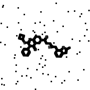 Cc1cc2cccc(CNCCC(=O)N3CCc4nc(SC5CCC5)n(-c5ccccc5)c(=O)c4C3)c2o1